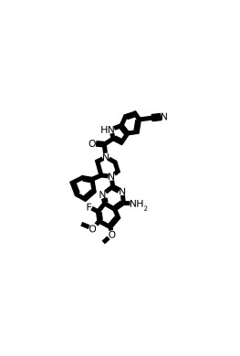 COc1cc2c(N)nc(N3CCN(C(=O)c4cc5cc(C#N)ccc5[nH]4)CC3c3ccccc3)nc2c(F)c1OC